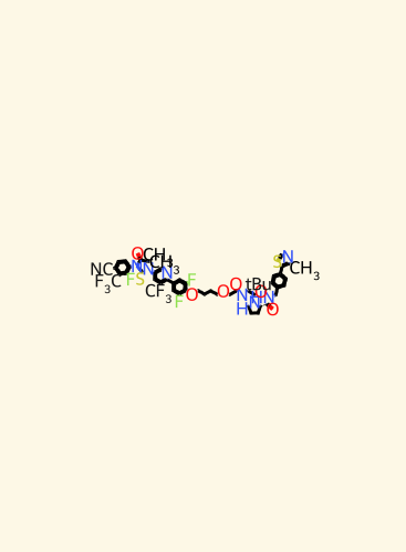 Cc1ncsc1-c1ccc(CNC(=O)[C@@H]2CCCN2C(=O)C(NC(=O)COCCCCOc2c(F)cc(-c3ncc(N4C(=S)N(c5ccc(C#N)c(C(F)(F)F)c5F)C(=O)C4(C)C)cc3C(F)(F)F)cc2F)C(C)(C)C)cc1